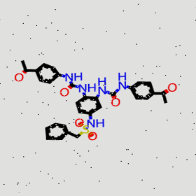 CC(=O)c1ccc(NC(=O)Nc2ccc(NS(=O)(=O)Cc3ccccc3)cc2NC(=O)Nc2ccc(C(C)=O)cc2)cc1